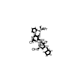 CC(C)N(C)C[C@@H]1CCCN1c1nc(Cl)nc(NNC(=O)[C@H](CC2CCCC2)CN(O)C=O)c1F